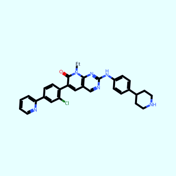 CCn1c(=O)c(-c2ccc(-c3ccccn3)cc2Cl)cc2cnc(Nc3ccc(C4CCNCC4)cc3)nc21